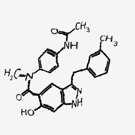 CC(=O)Nc1ccc(N(C)C(=O)c2cc3c(Cc4cccc(C)c4)n[nH]c3cc2O)cc1